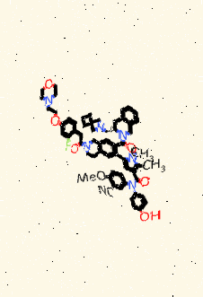 COc1ccc(N(C(=O)c2cc(-c3cc4c(cc3C(=O)N3Cc5ccccc5C[C@H]3CN3CC5(CCC5)C3)CN(C(=O)Cc3ccc(OCCN5CCOCC5)cc3F)CC4)n(C)c2C)c2ccc(O)cc2)cc1C#N